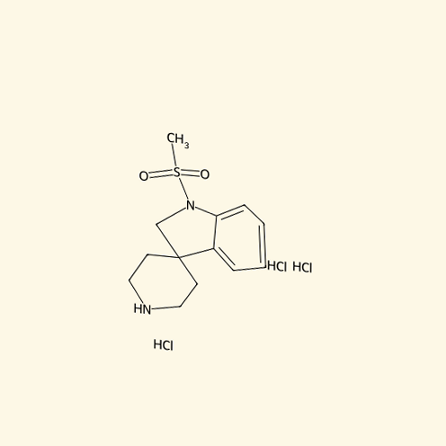 CS(=O)(=O)N1CC2(CCNCC2)c2ccccc21.Cl.Cl.Cl